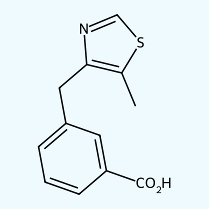 Cc1scnc1Cc1cccc(C(=O)O)c1